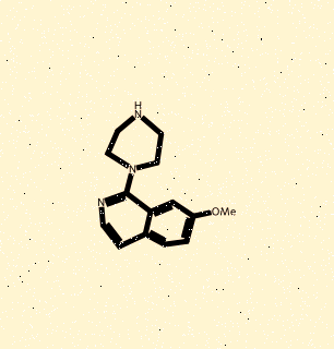 COc1ccc2ccnc(N3CCNCC3)c2c1